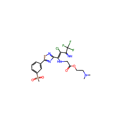 CN(C)CCOC(=O)CN/C(=C(/Cl)C(=N)C(F)(F)F)c1nsc(-c2cccc(S(C)(=O)=O)c2)n1